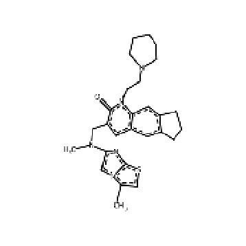 Cc1csc2nc(N(C)Cc3cc4cc5c(cc4n(CCN4CCCCC4)c3=O)CCC5)cn12